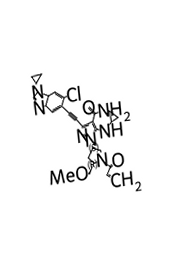 C=CC(=O)N1C[C@@H](n2nc(C#CC3=CC4N=CN(C5CC5)C4C=C3Cl)c(C(N)=O)c2NC2CC2)C[C@@H]1COC